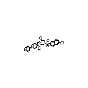 O=C1CN(S(=O)(=O)c2ccc3cc(Cl)ccc3c2)CC2NC3(CCN(c4ccncc4)CC3)CN12